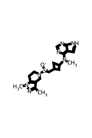 Cc1nn(C)c2c1CN([S+]([O-])CC1CC(N(C)c3ncnc4[nH]ccc34)C1)CC2